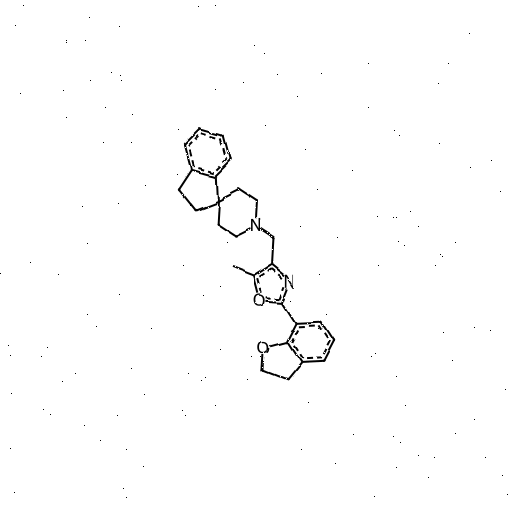 Cc1oc(-c2cccc3c2OCC3)nc1CN1CCC2(CCc3ccccc32)CC1